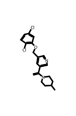 C=C(c1cncc(COc2cc(Cl)ccc2Cl)c1)N1CCC(C)CC1